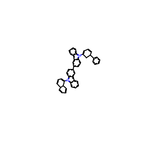 C1=CC(c2ccccc2)CC(n2c3ccccc3c3cc(-c4ccc5c(c4)c4ccccc4n5C4=CC=CC5C=CC=CC45)ccc32)=C1